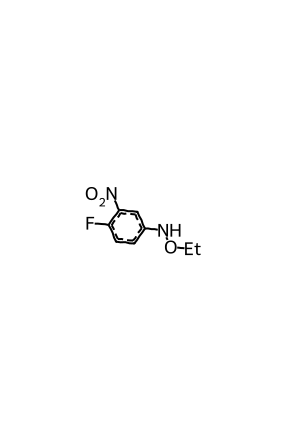 CCONc1ccc(F)c([N+](=O)[O-])c1